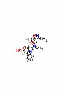 Cc1noc(C)c1CC(=O)N(C)[C@@H]1CCc2c(CC(=O)O)c3ccccc3n2C1